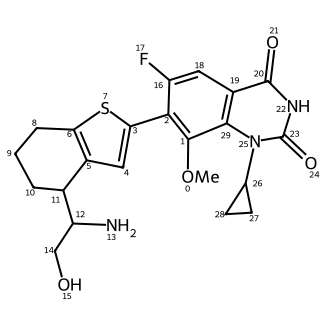 COc1c(-c2cc3c(s2)CCCC3C(N)CO)c(F)cc2c(=O)[nH]c(=O)n(C3CC3)c12